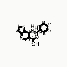 O=C(O)c1cnc2ccsc2c1NNc1ccccc1